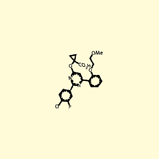 COCCOc1ccccc1-c1cc(OC2(C(=O)O)CC2)nc(-c2ccc(Cl)c(F)c2)n1